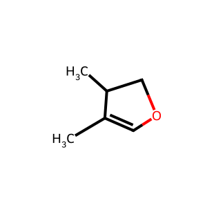 CC1=COCC1C